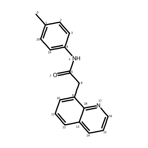 Cc1ccc(NC(=O)Cc2cccc3cccnc23)cc1